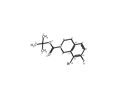 CC(C)(C)OC(=O)N1CCc2ccc(F)c(Br)c2C1